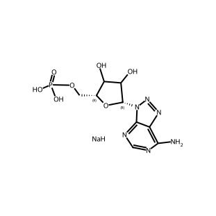 Nc1ncnc2c1nnn2[C@@H]1O[C@H](COP(=O)(O)O)C(O)C1O.[NaH]